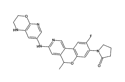 CC1Oc2cc(N3CCCC3=O)c(F)cc2-c2cnc(Nc3cnc4c(c3)NCCO4)cc21